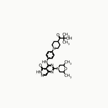 CC1CN(c2nc(Nc3ccc(N4CCC(C(=O)C(C)(C)O)CC4)cc3)c3c(=O)[nH]ncc3n2)CC(C)O1